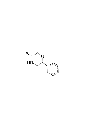 C[C@H]1COC(c2ccccc2)CN1